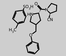 Cc1ccc(S(=O)(=O)O)cc1.N#C[C@@H]1CCCN1C(=O)[C@@H]1CC(COc2ccccc2)CN1